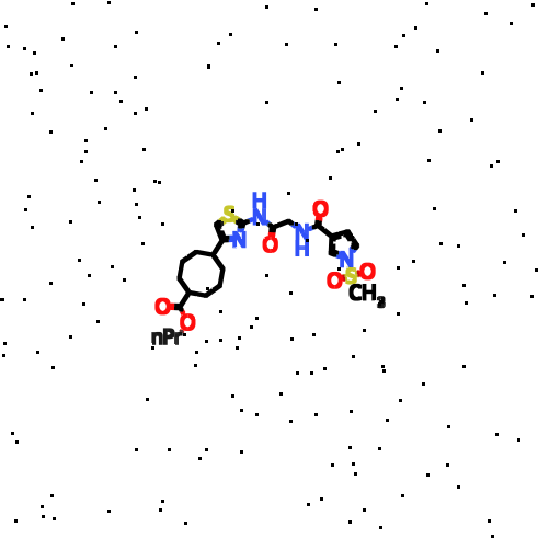 CCCOC(=O)C1CCCC(c2csc(NC(=O)CNC(=O)c3ccn(S(C)(=O)=O)c3)n2)CCC1